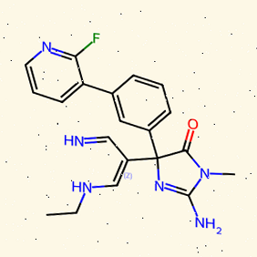 CCN/C=C(\C=N)C1(c2cccc(-c3cccnc3F)c2)N=C(N)N(C)C1=O